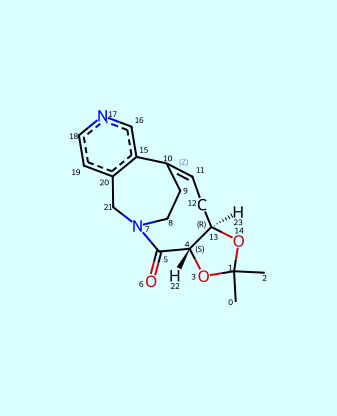 CC1(C)O[C@@H]2C(=O)N3CC/C(=C/C[C@H]2O1)c1cnccc1C3